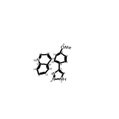 COc1ccc(-c2c[nH]nn2)cc1.c1ccc2ncccc2c1